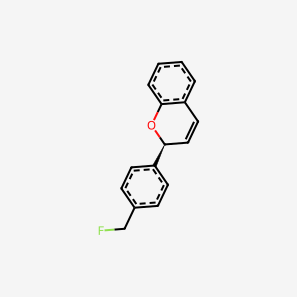 FCc1ccc([C@@H]2C=Cc3ccccc3O2)cc1